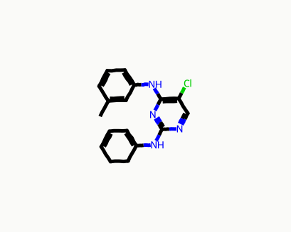 Cc1cccc(Nc2nc(NC3=CC=CCC3)ncc2Cl)c1